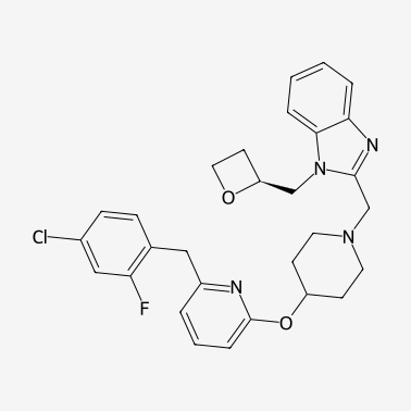 Fc1cc(Cl)ccc1Cc1cccc(OC2CCN(Cc3nc4ccccc4n3C[C@@H]3CCO3)CC2)n1